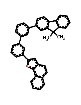 CC1(C)c2ccccc2-c2ccc(-c3cccc(-c4cccc(-c5cc6ccc7ccccc7c6s5)c4)c3)cc21